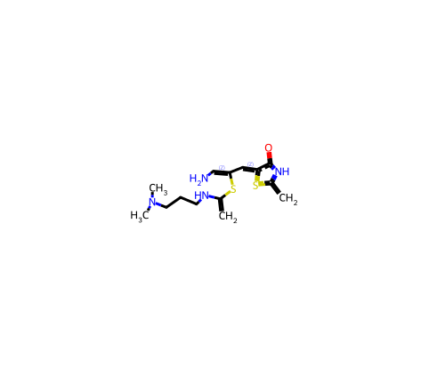 C=C(NCCCN(C)C)SC(=C\N)/C=c1\sc(=C)[nH]c1=O